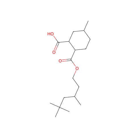 CC1CCC(C(=O)OCCC(C)CC(C)(C)C)C(C(=O)O)C1